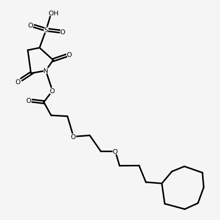 O=C(CCOCCOCCCC1CCCCCCC1)ON1C(=O)CC(S(=O)(=O)O)C1=O